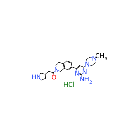 CN1CCN(c2cc(-c3ccc4c(c3)CN(C(=O)CC3CCNC3)CC4)nc(N)n2)CC1.Cl